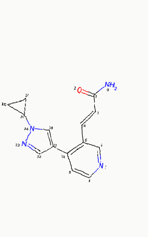 NC(=O)C=Cc1cnccc1-c1cnn(C2CC2)c1